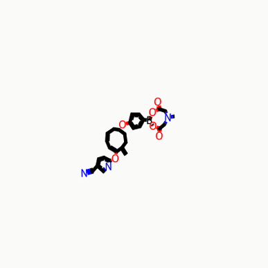 C=C1CC[C@@H](Oc2ccc(B3OC(=O)CN(C)CC(=O)O3)cc2)C/C=C\C=C/1Oc1ccc(C#N)cn1